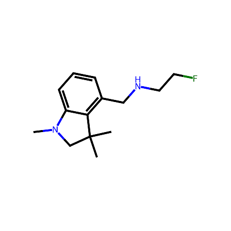 CN1CC(C)(C)c2c(CNCCF)cccc21